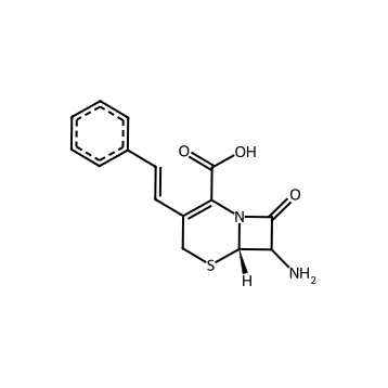 NC1C(=O)N2C(C(=O)O)=C(C=Cc3ccccc3)CS[C@@H]12